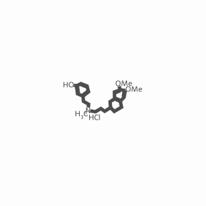 COc1cc2c(cc1OC)CC(CCCN(C)CCc1cccc(O)c1)CC2.Cl